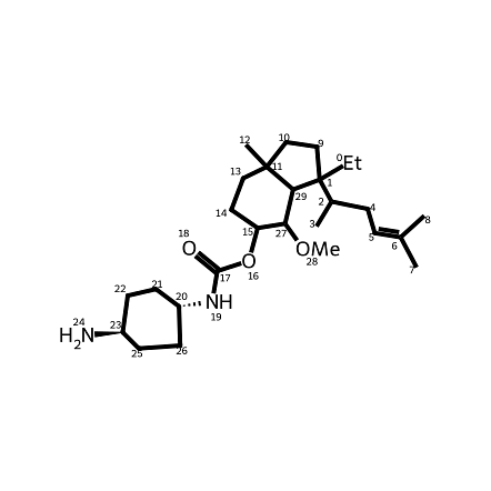 CCC1(C(C)CC=C(C)C)CCC2(C)CCC(OC(=O)N[C@H]3CC[C@H](N)CC3)C(OC)C21